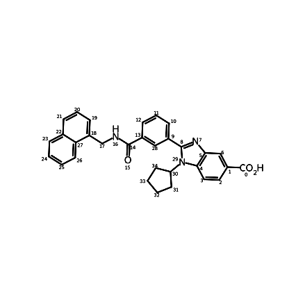 O=C(O)c1ccc2c(c1)nc(-c1cccc(C(=O)NCc3cccc4ccccc34)c1)n2C1CCCC1